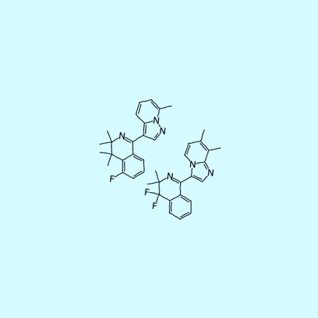 Cc1cccc2c(C3=NC(C)(C)C(C)(C)c4c(F)cccc43)cnn12.Cc1ccn2c(C3=NC(C)(C)C(F)(F)c4ccccc43)cnc2c1C